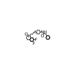 O=C(Cc1ccccc1)NC1CCN(CCCN2C(=O)CCc3cc(F)c(F)cc32)CC1